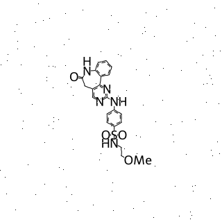 COCCNS(=O)(=O)c1ccc(Nc2ncc3c(n2)-c2ccccc2NC(=O)C3)cc1